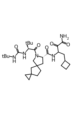 CC(C)(C)NC(=O)N[C@H](C(=O)N1CC2(CCC3(CC3)C2)C[C@H]1C(=O)NC(CC1CCC1)C(=O)C(N)=O)C(C)(C)C